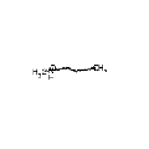 CCCCCCCCCCCCC#CC#CCCCCCCCCC(=O)NCCCC